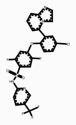 O=S(=O)(Nc1ccc(C(F)(F)F)cn1)c1cc(F)c(Oc2ccc(Cl)cc2-c2cccc3nccn23)cc1F